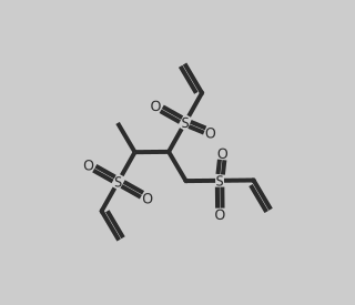 C=CS(=O)(=O)CC(C(C)S(=O)(=O)C=C)S(=O)(=O)C=C